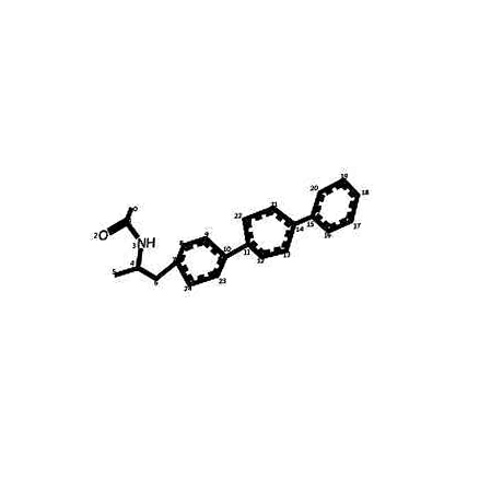 CC(=O)NC(C)Cc1ccc(-c2ccc(-c3ccccc3)cc2)cc1